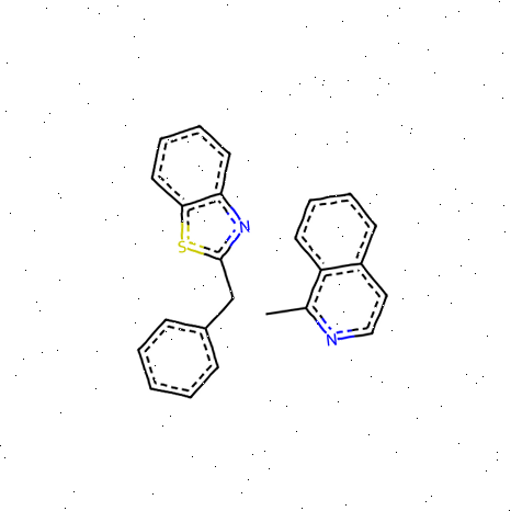 Cc1nccc2ccccc12.c1ccc(Cc2nc3ccccc3s2)cc1